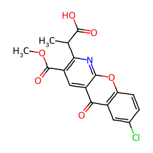 COC(=O)c1cc2c(=O)c3cc(Cl)ccc3oc2nc1C(C)C(=O)O